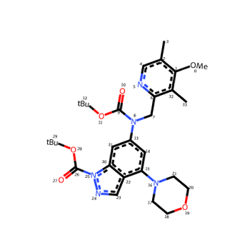 COc1c(C)cnc(CN(C(=O)OC(C)(C)C)c2cc(N3CCOCC3)c3cnn(C(=O)OC(C)(C)C)c3c2)c1C